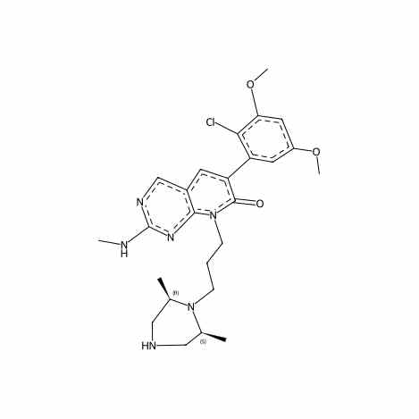 CNc1ncc2cc(-c3cc(OC)cc(OC)c3Cl)c(=O)n(CCCN3[C@H](C)CNC[C@@H]3C)c2n1